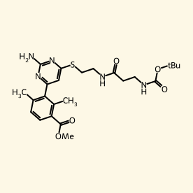 COC(=O)c1ccc(C)c(-c2cc(SCCNC(=O)CCNC(=O)OC(C)(C)C)nc(N)n2)c1C